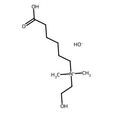 C[N+](C)(CCO)CCCCCC(=O)O.[OH-]